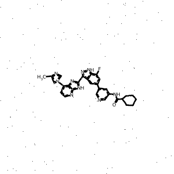 Cc1cn(-c2ccnc3[nH]c(-c4n[nH]c5c(F)cc(-c6cncc(NC(=O)C7CCCCC7)c6)cc45)nc23)cn1